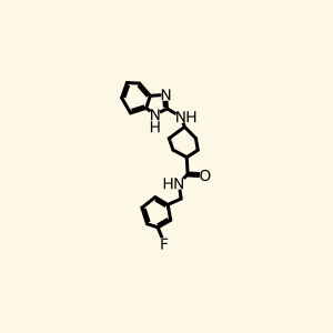 O=C(NCc1cccc(F)c1)C1CCC(Nc2nc3ccccc3[nH]2)CC1